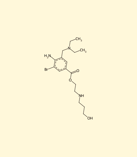 CCN(CC)Cc1cc(C(=O)OCCNCCCO)cc(Br)c1N